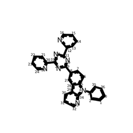 C1=C=CC(n2c3ccc(-c4nc(-c5ccccn5)nc(-c5ccccn5)n4)cc3c3cccnc32)=CC=1